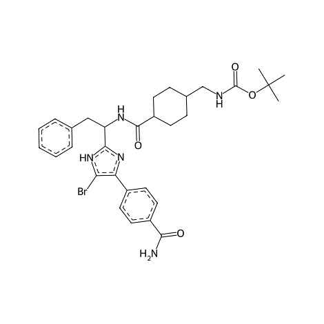 CC(C)(C)OC(=O)NCC1CCC(C(=O)NC(Cc2ccccc2)c2nc(-c3ccc(C(N)=O)cc3)c(Br)[nH]2)CC1